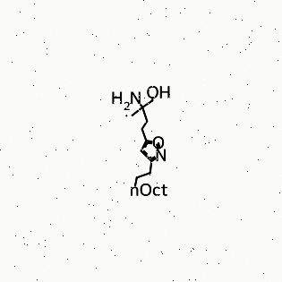 [CH2]C(N)(CO)CCc1cc(CCCCCCCCCC)no1